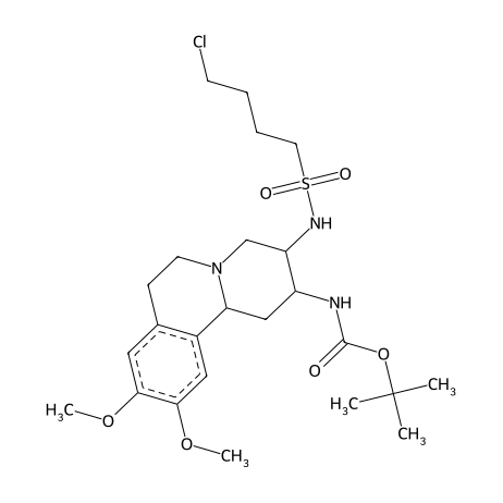 COc1cc2c(cc1OC)C1CC(NC(=O)OC(C)(C)C)C(NS(=O)(=O)CCCCCl)CN1CC2